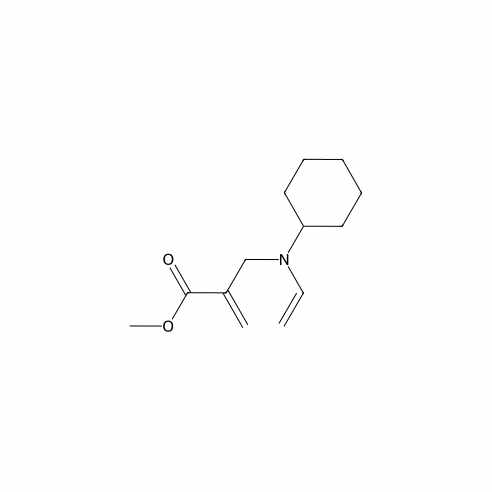 C=CN(CC(=C)C(=O)OC)C1CCCCC1